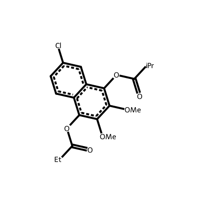 CCC(=O)Oc1c(OC)c(OC)c(OC(=O)C(C)C)c2cc(Cl)ccc12